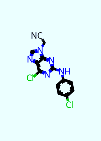 N#CCn1cnc2c(Cl)nc(Nc3ccc(Cl)cc3)nc21